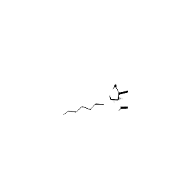 C=C1C(=O)O[C@@H](CCCCCCC)[C@@H]1C(=O)O